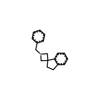 c1ccc(CN2CC3(CCc4ccccc43)C2)cc1